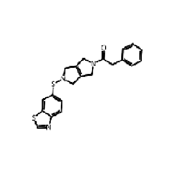 O=C(Cc1ccccc1)N1CC2=C(CN(Sc3ccc4ncsc4c3)C2)C1